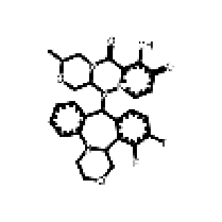 CC1CN2C(=O)c3c(O)c(=O)ccn3N(C3c4ccccc4N4CCOCC4c4c3ccc(F)c4F)C2CO1